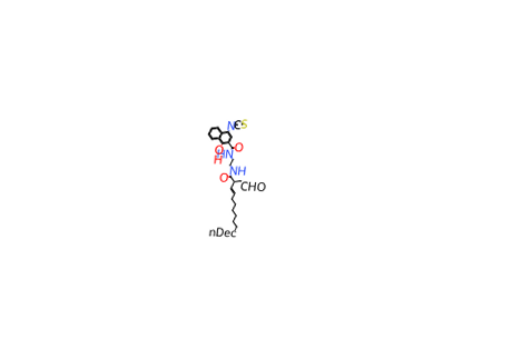 CCCCCCCCCCCCCCCCC=CC(CC=O)C(=O)NCCNC(=O)c1cc(N=C=S)c2ccccc2c1O